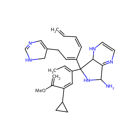 C=C/C=C\C(=C/CC1=CN=CNC1)C1(C(/C=C(\C(=C)OC)C2CC2)=C/C)NC(N)C2=NC=CNC21